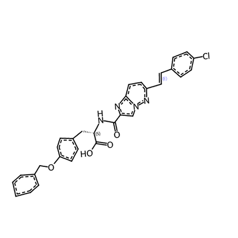 O=C(N[C@@H](Cc1ccc(OCc2ccccc2)cc1)C(=O)O)c1cn2nc(/C=C/c3ccc(Cl)cc3)ccc2n1